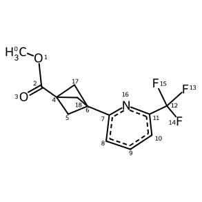 COC(=O)C12CC(c3cccc(C(F)(F)F)n3)(C1)C2